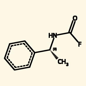 C[C@@H](NC(=O)F)c1ccccc1